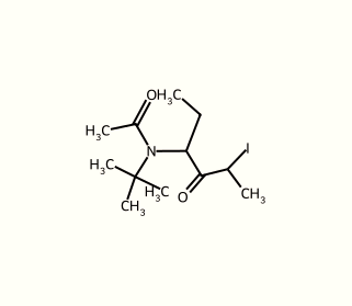 CCC(C(=O)C(C)I)N(C(C)=O)C(C)(C)C